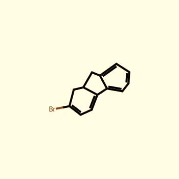 BrC1=CC=C2c3ccccc3CC2C1